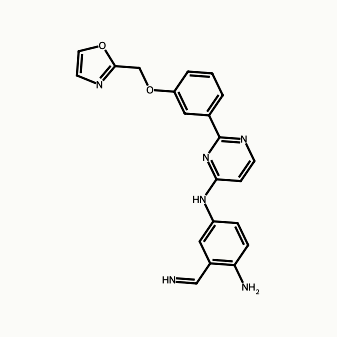 N=Cc1cc(Nc2ccnc(-c3cccc(OCc4ncco4)c3)n2)ccc1N